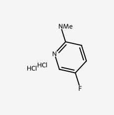 CNc1ccc(F)cn1.Cl.Cl